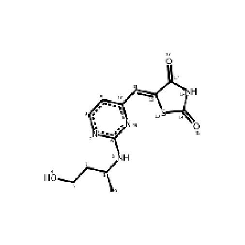 C[C@@H](CCO)Nc1nccc(/C=C2\SC(=O)NC2=O)n1